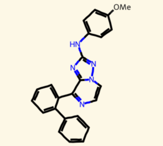 COc1ccc(Nc2nc3c(-c4ccccc4-c4ccccc4)nccn3n2)cc1